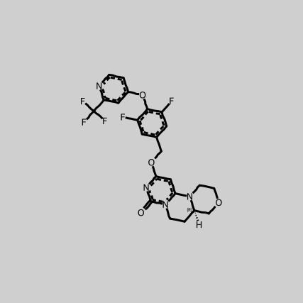 O=c1nc(OCc2cc(F)c(Oc3ccnc(C(F)(F)F)c3)c(F)c2)cc2n1CC[C@@H]1COCCN21